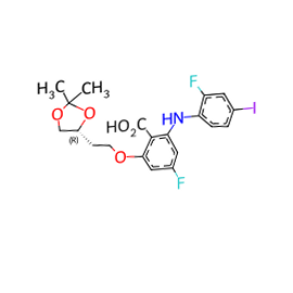 CC1(C)OC[C@@H](CCOc2cc(F)cc(Nc3ccc(I)cc3F)c2C(=O)O)O1